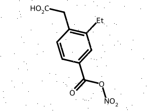 CCc1cc(C(=O)O[N+](=O)[O-])ccc1CC(=O)O